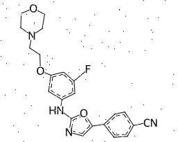 N#Cc1ccc(-c2cnc(Nc3cc(F)cc(OCCN4CCOCC4)c3)o2)cc1